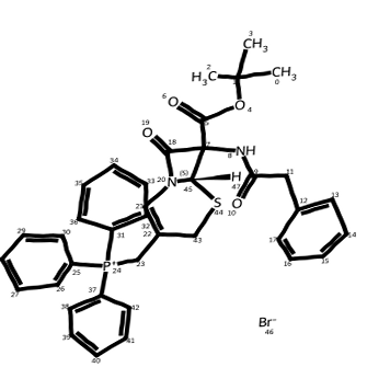 CC(C)(C)OC(=O)C1(NC(=O)Cc2ccccc2)C(=O)N2C=C(C[P+](c3ccccc3)(c3ccccc3)c3ccccc3)CS[C@H]21.[Br-]